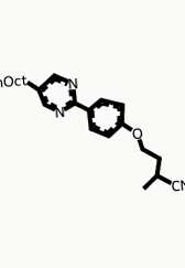 CCCCCCCCc1cnc(-c2ccc(OCCC(C)C#N)cc2)nc1